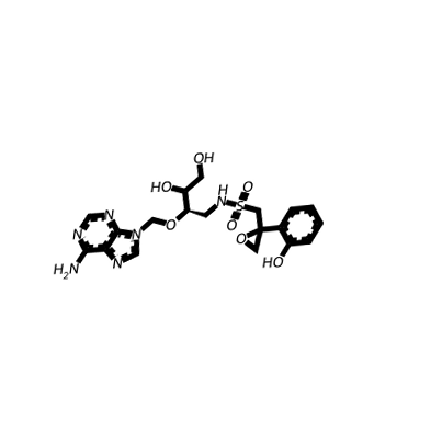 Nc1ncnc2c1ncn2CO[C@H](CNS(=O)(=O)CC1(c2ccccc2O)CO1)C(O)CO